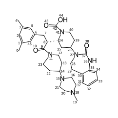 Cc1cc(C)cc(CC(C(=O)N2CCC(N3CCN(C)CC3)CC2)[C@H]2CC(N3CCc4ccccc4NC3=O)CCN2C(=O)O)c1